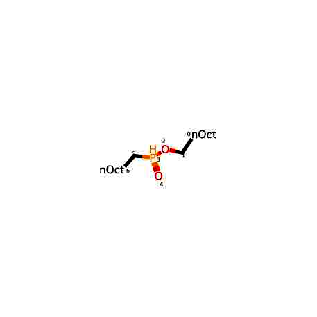 CCCCCCCCCO[PH](=O)CCCCCCCCC